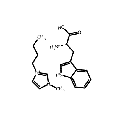 CCCC[n+]1ccn(C)c1.N[C@@H](Cc1c[nH]c2ccccc12)C(=O)O